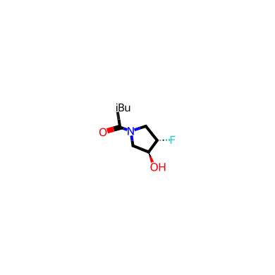 CCC(C)C(=O)N1C[C@H](O)[C@@H](F)C1